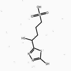 O=S(=O)(O)CCCC(S)c1nnc(S)s1